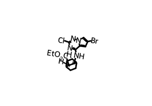 CCOC(=O)[C@H]1C2CCC(CC2)[C@@H]1Nc1nc(Cl)nn2cc(Br)cc12